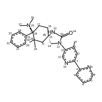 Cc1cc(-c2ccccn2)ncc1N1C[C@]2(CC[C@](c3ccccc3)(N(C)C)C(C)(C)C2)NC1=O